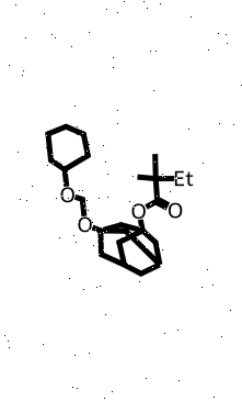 CCC(C)(C)C(=O)OC12CC3CC(CC(OCOC4CCCCC4)(C3)C1)C2